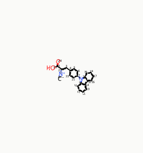 [C-]#[N+]/C(=C\c1ccc(-n2c3ccccc3c3ccccc32)cc1)C(=O)O